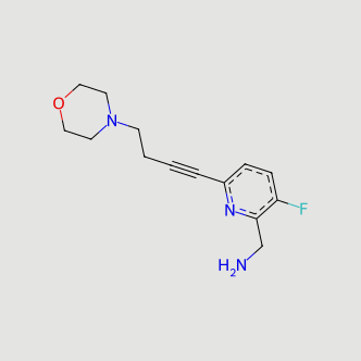 NCc1nc(C#CCCN2CCOCC2)ccc1F